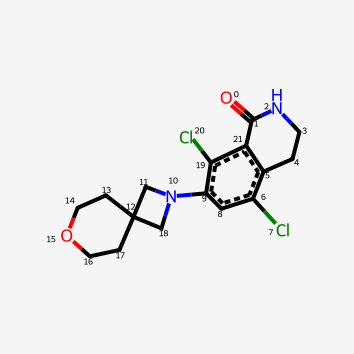 O=C1NCCc2c(Cl)cc(N3CC4(CCOCC4)C3)c(Cl)c21